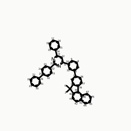 CC1(C)c2cc(-c3cccc(-c4cc(-c5ccccc5)nc(-c5ccc(-c6ccccc6)cc5)n4)c3)ccc2-c2c1ccc1ccccc21